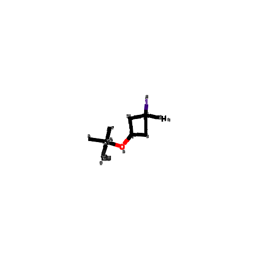 [2H]C1(I)CC(O[Si](C)(C)C(C)(C)C)C1